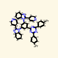 CC(C)c1ccc(-c2nc(-c3ccc(C(C)C)cc3)nc(-c3cc(-n4c(-c5ccncc5)nc5ccccc54)cc(-n4c(-c5ccncc5)nc5ccccc54)c3)n2)cc1